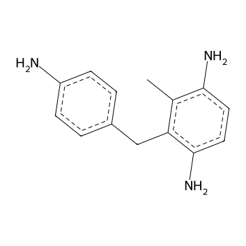 Cc1c(N)ccc(N)c1Cc1ccc(N)cc1